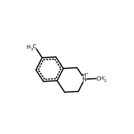 [CH2-][NH+]1CCc2ccc(C)cc2C1